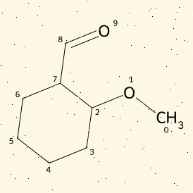 COC1CCCCC1C=O